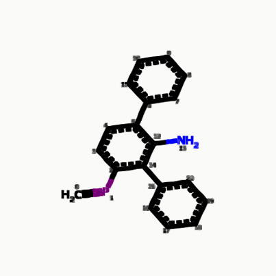 C=Pc1ccc(-c2ccccc2)c(N)c1-c1ccccc1